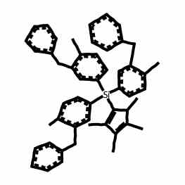 CC1=C(C)C(C)C([Si](c2ccc(C)c(Cc3ccccc3)c2)(c2ccc(C)c(Cc3ccccc3)c2)c2ccc(C)c(Cc3ccccc3)c2)=C1C